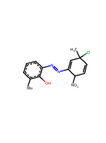 CC1(Cl)C=CC([N+](=O)[O-])C(/N=N/c2cccc(C(C)(C)C)c2O)=C1